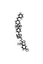 O=C(CSc1nnc(-c2ccc(S(=O)(=O)C3CCC(Cc4ccccc4)CC3)cc2)o1)Nc1ccc(Cl)cc1